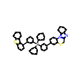 c1ccc([Si](c2ccccc2)(c2cccc(-c3ccc4c(c3)SCc3nc5ccccc5n3-4)c2)c2cccc(-c3cccc4sc5ccccc5c34)c2)cc1